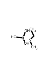 CCSC.OB(O)O